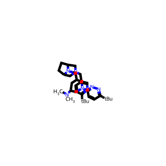 CN(C)C1CC(CN2C3CCC2CN(Cc2ccc(C(C)(C)C)nc2)C3)CN(c2ccc(C(C)(C)C)nn2)C1